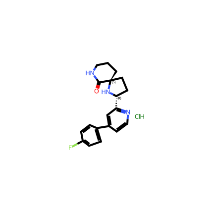 Cl.O=C1NCCC[C@]12CC[C@H](c1cc(-c3ccc(F)cc3)ccn1)N2